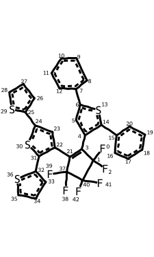 FC1(F)C(c2cc(-c3ccccc3)sc2-c2ccccc2)=C(c2cc(-c3cccs3)sc2-c2cccs2)C(F)(F)C1(F)F